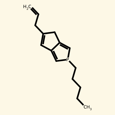 C=CCC1=Cc2cp(CCCCC)cc2C1